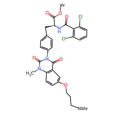 CNCCCOc1ccc2c(c1)c(=O)n(-c1ccc(C[C@H](NC(=O)c3c(Cl)cccc3Cl)C(=O)OC(C)C)cc1)c(=O)n2C